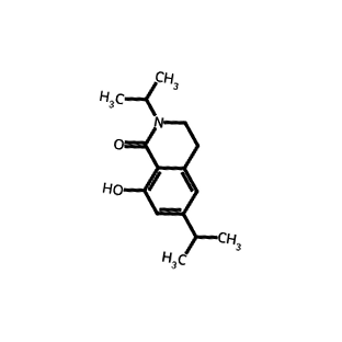 CC(C)c1cc(O)c2c(c1)CCN(C(C)C)C2=O